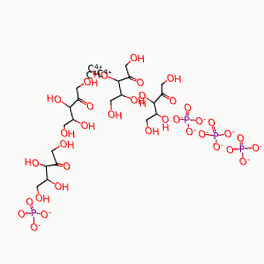 O=C(CO)C(O)C(O)CO.O=C(CO)C(O)C(O)CO.O=C(CO)C(O)C(O)CO.O=C(CO)C(O)C(O)CO.O=P([O-])([O-])[O-].O=P([O-])([O-])[O-].O=P([O-])([O-])[O-].O=P([O-])([O-])[O-].[C+4].[C+4].[C+4]